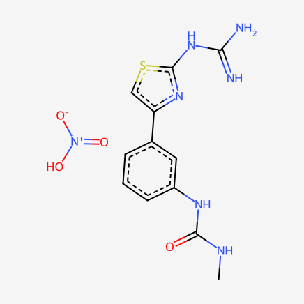 CNC(=O)Nc1cccc(-c2csc(NC(=N)N)n2)c1.O=[N+]([O-])O